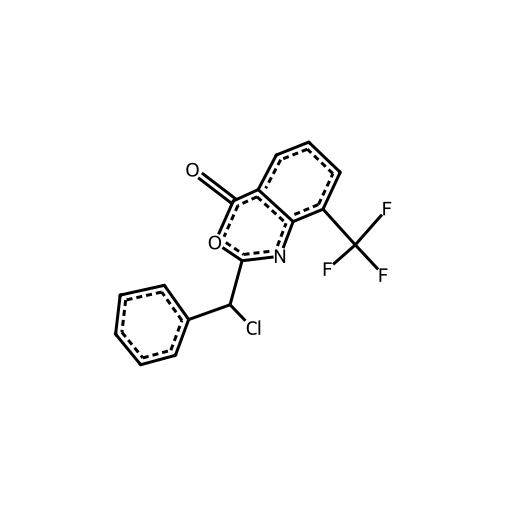 O=c1oc(C(Cl)c2ccccc2)nc2c(C(F)(F)F)cccc12